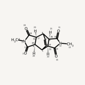 CN1C(=O)[C@@H]2C3C=CC([C@H]4C(=O)N(C)C(=O)[C@@H]34)[C@@H]2C1=O